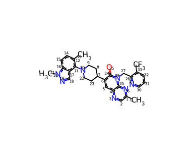 Cc1cnc2cc(C3CCN(c4c(C)ccc5c4cnn5C)CC3)c(=O)n(Cc3ncccc3C(F)(F)F)c2n1